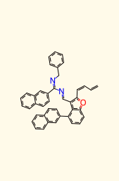 C=C/C=C\c1oc2cccc(-c3ccc4ccccc4c3)c2c1/C=N/C(=N\Cc1ccccc1)c1ccc2ccccc2c1